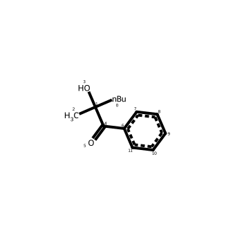 CCCCC(C)(O)C(=O)c1ccccc1